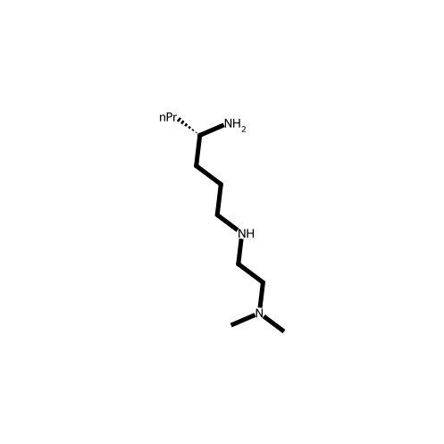 CCC[C@H](N)CCCNCCN(C)C